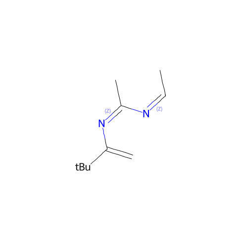 C=C(/N=C(C)\N=C/C)C(C)(C)C